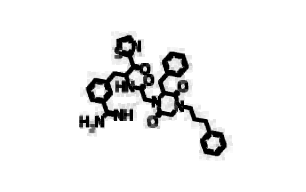 N=C(N)c1cccc(CC(NC(=O)CN2C(=O)CN(CCCc3ccccc3)C(=O)C2Cc2ccccc2)C(=O)c2nccs2)c1